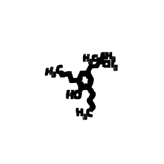 CCCCc1cc(CC[Si](C)(C)C)cc(CCCC)c1O